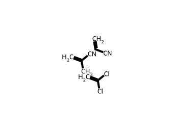 C=C(C)C#N.C=C(Cl)Cl.C=CC#N